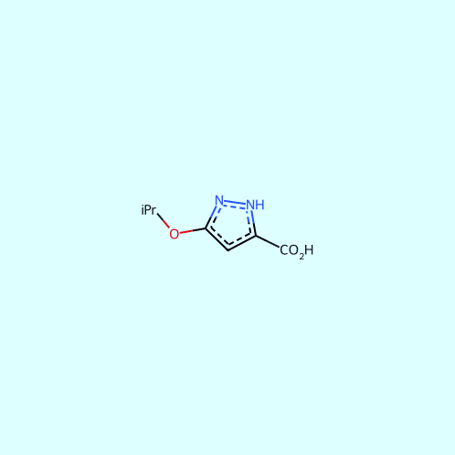 CC(C)Oc1cc(C(=O)O)[nH]n1